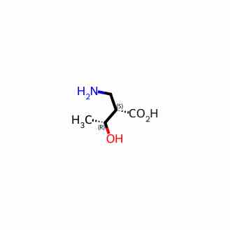 C[C@@H](O)[C@H](CN)C(=O)O